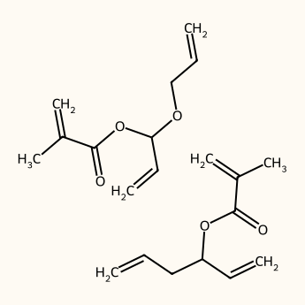 C=CCC(C=C)OC(=O)C(=C)C.C=CCOC(C=C)OC(=O)C(=C)C